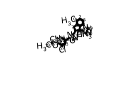 Cc1cccc2c1CC(c1noc(-c3cnc(OC(C)C)c(Cl)c3)n1)[C@@]2(C)c1nnn[nH]1